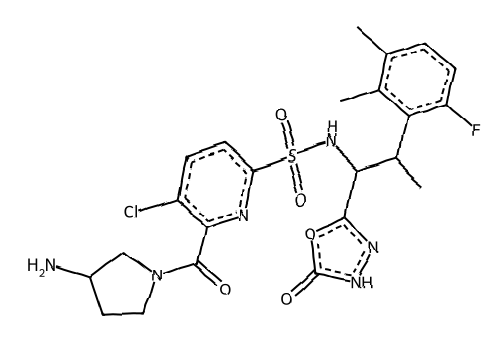 Cc1ccc(F)c(C(C)C(NS(=O)(=O)c2ccc(Cl)c(C(=O)N3CCC(N)C3)n2)c2n[nH]c(=O)o2)c1C